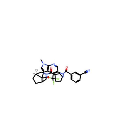 Cn1cc([C@@H]2C3CC[C@H]2CN(C(=O)C2CCCC2)C3)c2c(C(F)(F)F)c(NC(=O)c3cccc(C#N)c3)cnc21